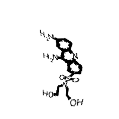 Nc1ccc2nc3ccc(S(=O)(=O)N(CCO)CCO)cc3c(N)c2c1